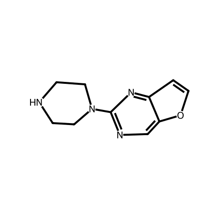 c1cc2nc(N3CCNCC3)ncc2o1